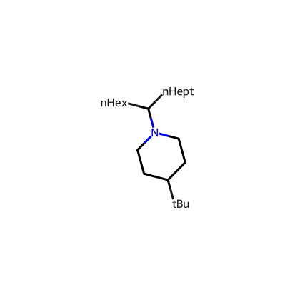 CCCCCCCC(CCCCCC)N1CCC(C(C)(C)C)CC1